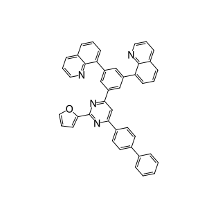 c1ccc(-c2ccc(-c3cc(-c4cc(-c5cccc6cccnc56)cc(-c5cccc6cccnc56)c4)nc(-c4ccco4)n3)cc2)cc1